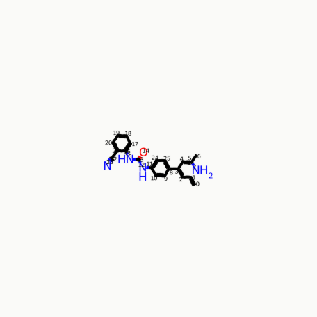 C=C/C=C(\C=C(\C)N)c1ccc(NC(=O)Nc2ccccc2C#N)cc1